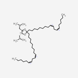 CCCCC/C=C\C/C=C\CCCCCCCCC1(CCCCCCCC/C=C\C/C=C\CCCCC)O[C@H](CN(C)C)[C@@H](CN(C)C)O1